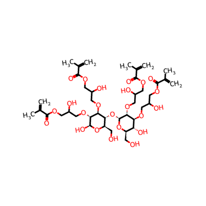 C=C(C)C(=O)OCC(O)CO[C@@H]1[C@@H](OCC(O)COC(=O)C(=C)C)[C@H](O)O[C@H](CO)[C@H]1O[C@H]1O[C@H](CO)[C@@H](O)[C@H](OCC(O)COC(=O)C(=C)C)[C@H]1OCC(O)COC(=O)C(=C)C